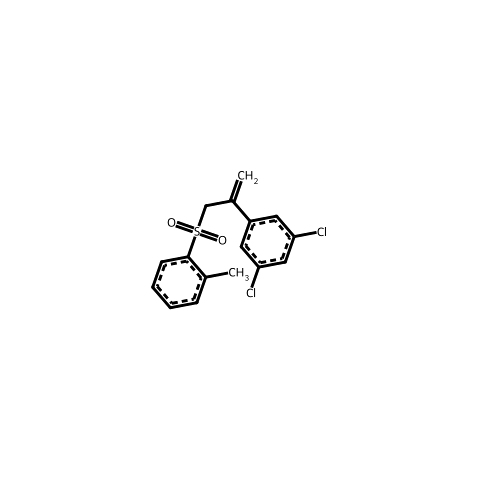 C=C(CS(=O)(=O)c1ccccc1C)c1cc(Cl)cc(Cl)c1